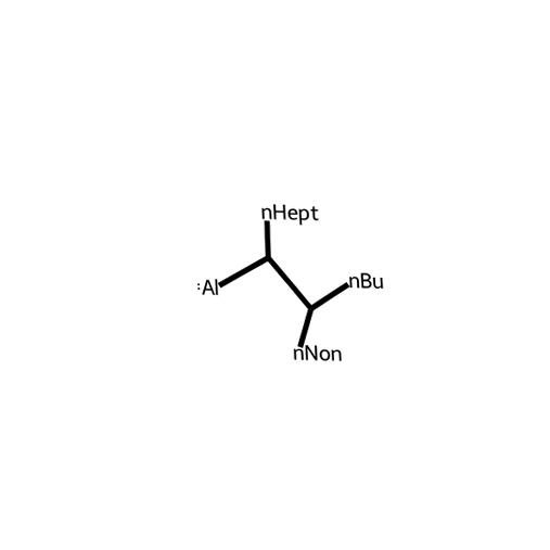 CCCCCCCCCC(CCCC)[CH]([Al])CCCCCCC